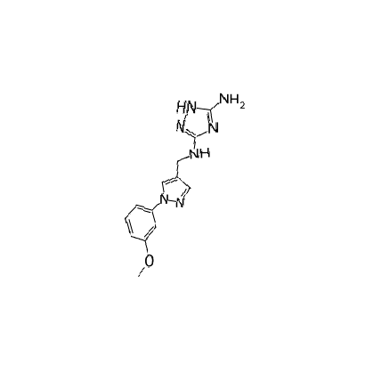 COc1cccc(-n2cc(CNc3n[nH]c(N)n3)cn2)c1